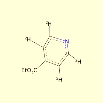 [2H]c1nc([2H])c([2H])c(C(=O)OCC)c1[2H]